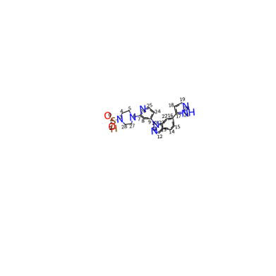 O=[SH](=O)N1CCN(c2cc(-n3ncc4ccc(-c5ccn[nH]5)cc43)ccn2)CC1